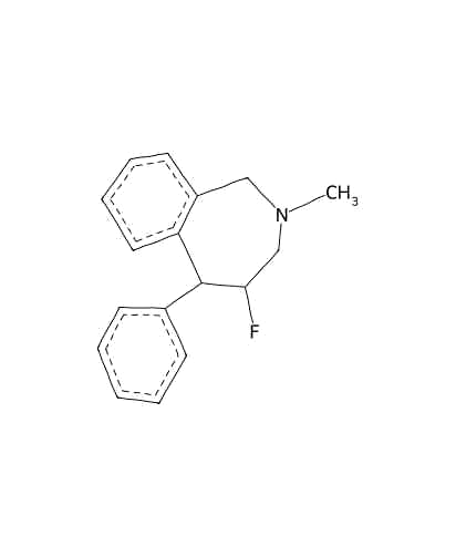 CN1Cc2ccccc2C(c2ccccc2)C(F)C1